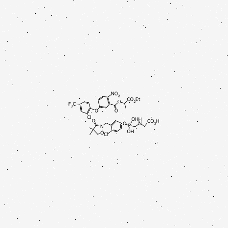 CC1(C)CON(Cc2ccccc2Cl)C1=O.CCOC(=O)C(C)OC(=O)c1cc(Oc2ccc(C(F)(F)F)cc2Cl)ccc1[N+](=O)[O-].O=C(O)CNCP(=O)(O)O